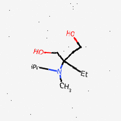 CCC(CO)(CO)N(C)C(C)C